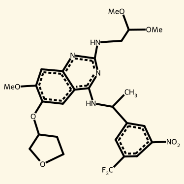 COc1cc2nc(NCC(OC)OC)nc(NC(C)c3cc([N+](=O)[O-])cc(C(F)(F)F)c3)c2cc1OC1CCOC1